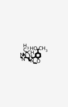 CC(O)c1ccc2c(c1)-c1nc(-c3ncnn3C(C)C)cn1CCO2